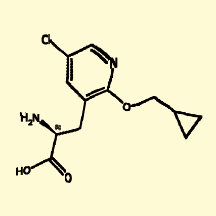 N[C@@H](Cc1cc(Cl)cnc1OCC1CC1)C(=O)O